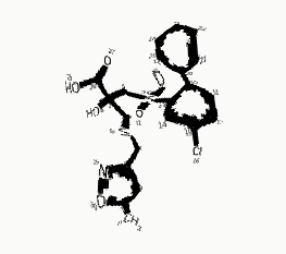 Cc1cc(CSCC(O)(CS(=O)(=O)c2cc(Cl)ccc2-c2ccccc2)C(=O)O)no1